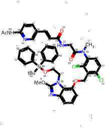 COc1nc2cccc(OCc3c(Cl)ccc(N(C)C(=O)CNC(=O)C=Cc4ccc(NC(C)=O)nc4)c3Cl)c2n1CCO[Si](c1ccccc1)(c1ccccc1)C(C)(C)C